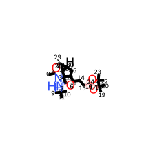 CC(=O)NC1(C(=O)NC(C)(C)C)C(CCCB2OC(C)(C)C(C)(C)O2)C[C@@H]2C1[C@@H]2C